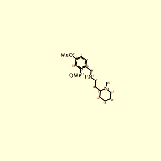 COc1ccc(CNCCC2CCCCN2C)c(OC)c1